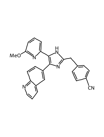 COc1cccc(-c2[nH]c(Cc3ccc(C#N)cc3)nc2-c2ccc3ncccc3c2)n1